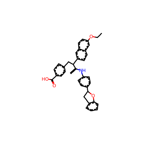 C=C(Nc1ccc(C2Cc3ccccc3O2)cc1)C(Cc1ccc(C(=O)O)cc1)c1ccc2cc(OCC)ccc2c1